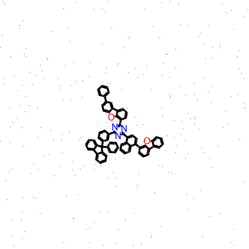 c1ccc(-c2ccc3oc4c(-c5nc(-c6cccc(C7(c8ccccc8)c8ccccc8-c8ccccc87)c6)nc(-c6ccc(-c7cccc8c7oc7ccccc78)c7ccccc67)n5)cccc4c3c2)cc1